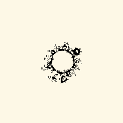 CC(C)C[C@H]1C(=O)N[C@@H](COC(C)(C)C)C(=O)NC(C(=O)N2CCCCC2)C(=O)N(C)C(C)C(=O)N(C)[C@@H](C)C(=O)N(C)[C@@H](Cc2ccccc2)C(=O)N(C)[C@@H](CC(C)C)C(=O)N[C@@H]([C@@H](C)O)C(=O)N(C)[C@@H](C)C(=O)N1C